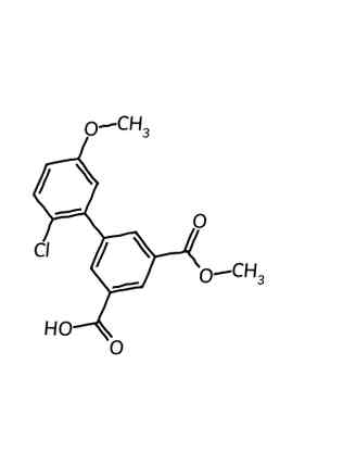 COC(=O)c1cc(C(=O)O)cc(-c2cc(OC)ccc2Cl)c1